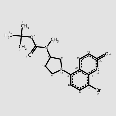 CN(C(=O)OC(C)(C)C)C1CCN(c2ccc(Br)c3oc(=O)ccc23)C1